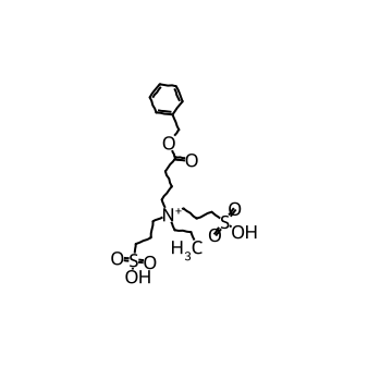 CCC[N+](CCCC(=O)OCc1ccccc1)(CCCS(=O)(=O)O)CCCS(=O)(=O)O